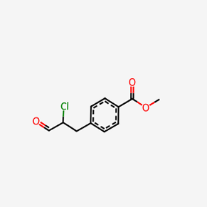 COC(=O)c1ccc(CC(Cl)C=O)cc1